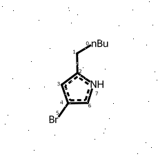 CCCCCc1cc(Br)c[nH]1